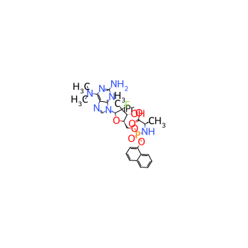 CC(C)OC(=O)[C@@H](C)N[P@@](=O)(OC[C@H]1O[C@@H](n2cnc3c(N(C)C)nc(N)nc32)[C@](C)(F)[C@@H]1O)Oc1cccc2ccccc12